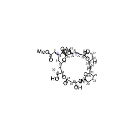 COC(=O)/C=C1\CC2CC([C@@H](C)O)OC(=O)CC(O)C[C@@H]3CCC[C@H](C[C@@H]4CCO[C@H](/C=C/[C@H](C)[C@](O)(O2)[C@H]1OC(C)=O)O4)O3